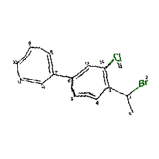 CC(Br)c1ccc(-c2ccccc2)cc1Cl